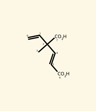 C=CC(C)(C=CC(=O)O)C(=O)O